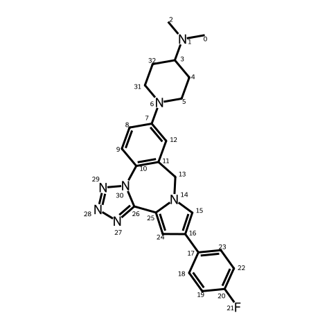 CN(C)C1CCN(c2ccc3c(c2)Cn2cc(-c4ccc(F)cc4)cc2-c2nnnn2-3)CC1